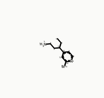 CCC(CCN)c1ccnc(Br)c1